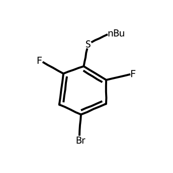 CCCCSc1c(F)cc(Br)cc1F